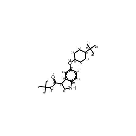 CC(C)(C)OC(=O)C1CNc2ccc(OC3CCC(C(C)(C)C)CC3)cc21